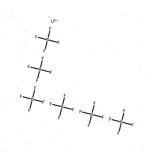 F[B-](F)(F)F.F[B-](F)(F)F.F[B-](F)(F)F.F[B-](F)(F)F.F[B-](F)(F)F.F[B-](F)(F)F.[U+6]